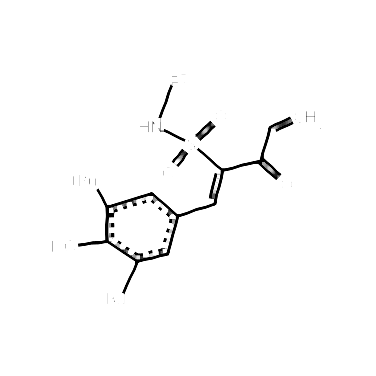 C=CC(=O)/C(=C/c1cc(C(C)(C)C)c(O)c(C(C)(C)C)c1)S(=O)(=O)NCC